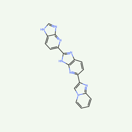 c1ccn2cc(-c3ccc4nc(-c5ccc6[nH]cnc6n5)[nH]c4n3)nc2c1